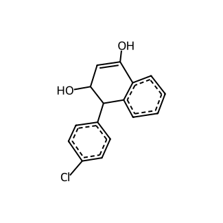 OC1=CC(O)C(c2ccc(Cl)cc2)c2ccccc21